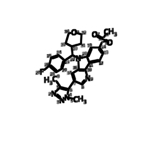 Cc1nnn(C)c1-c1cnc2c3ccc(S(C)(=O)=O)cc3n(C(c3ccc(F)cc3)C3CCOCC3)c2c1